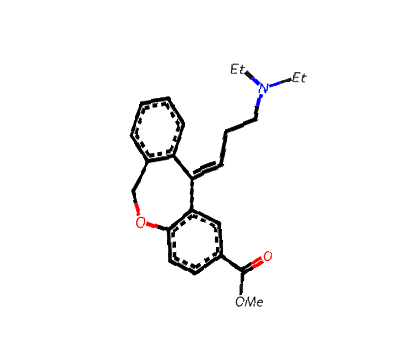 CCN(CC)CC/C=C1\c2ccccc2COc2ccc(C(=O)OC)cc21